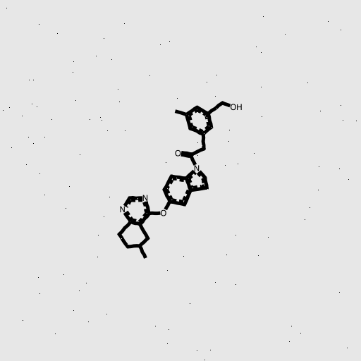 Cc1cc(CO)cc(CC(=O)n2ccc3cc(Oc4ncnc5c4CC(C)CC5)ccc32)c1